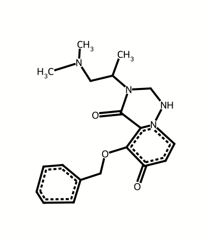 CC(CN(C)C)N1CNn2ccc(=O)c(OCc3ccccc3)c2C1=O